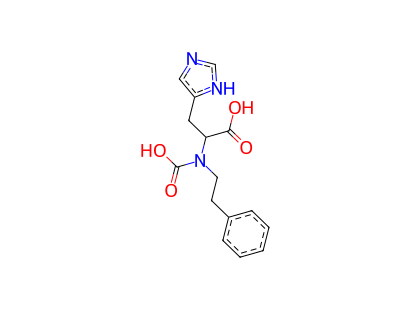 O=C(O)C(Cc1cnc[nH]1)N(CCc1ccccc1)C(=O)O